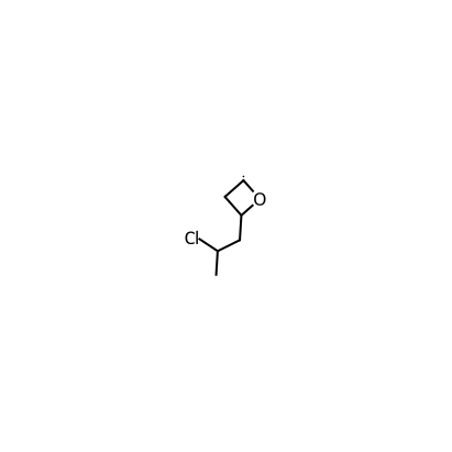 CC(Cl)CC1C[CH]O1